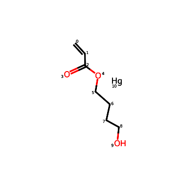 C=CC(=O)OCCCCO.[Hg]